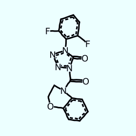 O=C(N1CCOc2ccccc21)n1nnn(-c2c(F)cccc2F)c1=O